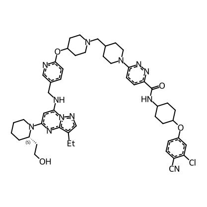 CCc1cnn2c(NCc3ccc(OC4CCN(CC5CCN(c6ccc(C(=O)NC7CCC(Oc8ccc(C#N)c(Cl)c8)CC7)nn6)CC5)CC4)nc3)cc(N3CCCC[C@H]3CCO)nc12